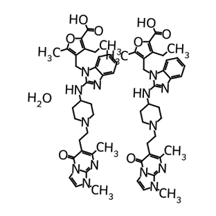 CCc1c(C(=O)O)oc(C)c1Cn1c(NC2CCN(CCc3c(C)nc4n(C)ccn4c3=O)CC2)nc2ccccc21.CCc1c(C(=O)O)oc(C)c1Cn1c(NC2CCN(CCc3c(C)nc4n(C)ccn4c3=O)CC2)nc2ccccc21.O